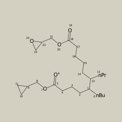 CCCCC(CCCC(=O)OCC1CC1)C(CCC)CCCCC(=O)OCC1CO1